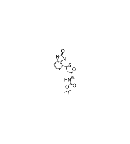 C[C@H](NC(=O)OC(C)(C)C)C(=O)CC(=S)c1cccc2c1=NC(=O)N=2